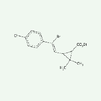 CCOC(=O)C1C(C=C(Br)c2ccc(Cl)cc2)C1(C)C